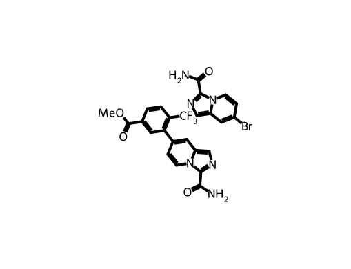 COC(=O)c1ccc(C(F)(F)F)c(-c2ccn3c(C(N)=O)ncc3c2)c1.NC(=O)c1ncc2cc(Br)ccn12